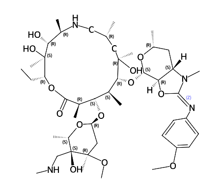 CC[C@H]1OC(=O)[C@H](C)[C@@H](O[C@H]2C[C@@](C)(OC)[C@](O)(CNC)[C@H](C)O2)[C@H](C)[C@@H](O[C@@H]2O[C@H](C)C[C@H]3[C@H]2O/C(=N\c2ccc(OC)cc2)N3C)[C@](C)(O)C[C@@H](C)CN[C@H](C)[C@@H](O)[C@]1(C)O